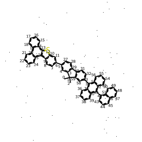 CC1(C)c2cc(-c3ccc4c(c3)sc3c5ccccc5c5ccccc5c43)ccc2-c2ccc(-c3c4ccccc4c(-c4cccc5ccccc45)c4ccccc34)cc21